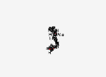 CCc1cc(Nc2ncc(Br)c(Nc3ccc4nccnc4c3P(C)(C)=O)n2)c(OC)cc1N1CCC(N2CCN(C[C@@H]3CCN(c4cc(F)c(C5CCC(=O)NC5=O)c(F)c4)C3)CC2)CC1